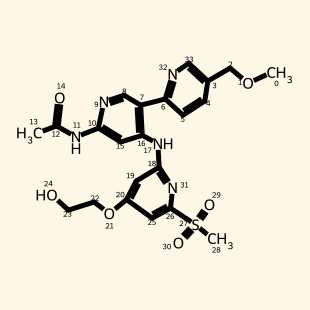 COCc1ccc(-c2cnc(NC(C)=O)cc2Nc2cc(OCCO)cc(S(C)(=O)=O)n2)nc1